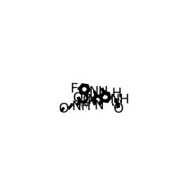 COCCNC(=O)[C@@H](C)Oc1cc(F)ccc1Nc1ncnc2cc(N[SH](C)(C)=O)cc(C)c12